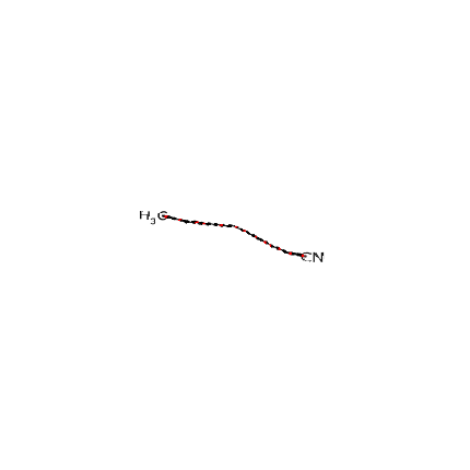 CC#CC#CC#CC#CC#CC#CC#CC#CC#CC#CC#CC#CC#CC#CC#CC#CC#CC#CC#CC#CC#CC#N